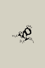 CC1CCCCC2=C(C/C(=N\C(C)C)N2C(C)C)C1